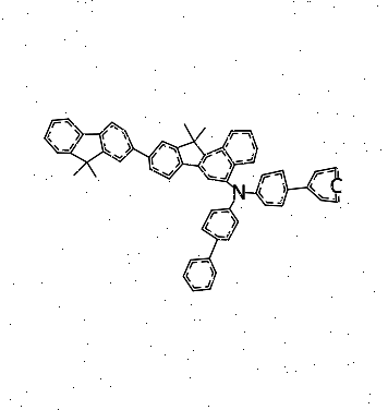 CC1(C)c2ccccc2-c2ccc(-c3ccc4c(c3)C(C)(C)c3c-4cc(N(c4ccc(-c5ccccc5)cc4)c4ccc(-c5ccccc5)cc4)c4ccccc34)cc21